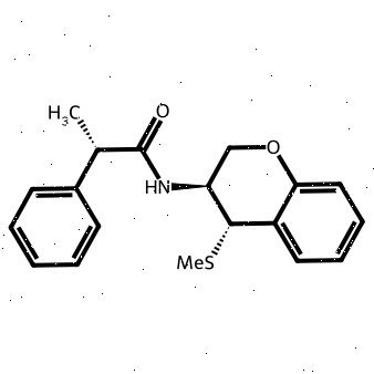 CS[C@H]1c2ccccc2OC[C@@H]1NC(=O)[C@@H](C)c1ccccc1